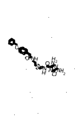 C[N+](C)(CCCNC(=O)Cc1ccc(OCc2ccccc2)cc1)CCNC(=O)c1nc(Cl)c(N)nc1N